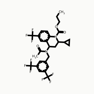 CCCOC(=O)N1c2ccc(C(F)(F)F)cc2C(N(Cc2cc(C(F)(F)F)cc(C(F)(F)F)c2)C(C)=O)CC1C1CC1